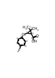 CC1(C)C(Oc2ccc(F)cc2)C1C(=O)O